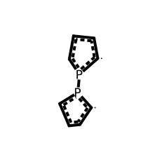 [c]1cccp1-p1[c]ccc1